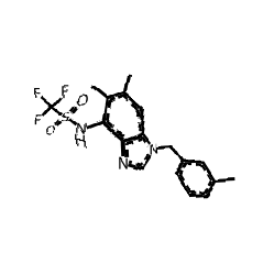 Cc1cccc(Cn2cnc3c(NS(=O)(=O)C(F)(F)F)c(C)c(C)cc32)c1